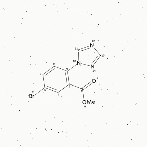 COC(=O)c1cc(Br)ccc1-n1cncn1